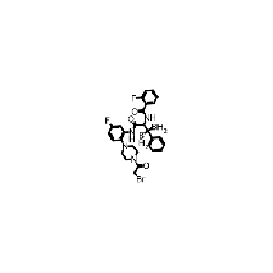 BC(B)(c1ccccc1)C(NC(=O)c1ccccc1F)C(=O)Nc1cc(F)ccc1N1CCN(C(=O)CBr)CC1